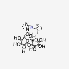 Cc1ccsc1/C=C/C1=NCCCN1C.OC[C@H]1O[C@@H](O[C@H]2[C@H](O)[C@@H](O)[C@H](O)O[C@@H]2CO)[C@H](O)[C@@H](O)[C@H]1O